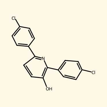 Oc1ccc(-c2ccc(Cl)cc2)nc1-c1ccc(Cl)cc1